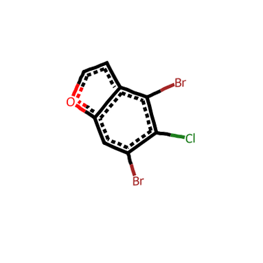 Clc1c(Br)cc2occc2c1Br